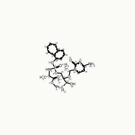 CC(C)OC(=O)[C@H](C)NP(=O)(OC[C@@](F)(O[C@H](C)n1ccc(N)nc1=O)[C@H](C)O)Oc1cccc2ccccc12